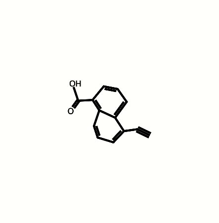 C#Cc1cccc2c(C(=O)O)cccc12